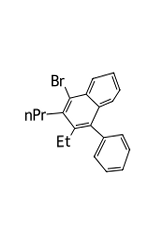 CCCc1c(CC)c(-c2ccccc2)c2ccccc2c1Br